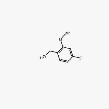 CC(C)Oc1cc(F)ccc1CO